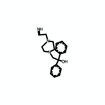 N=CCN1CCN(CC(O)(c2ccccc2)c2ccccc2)CC1